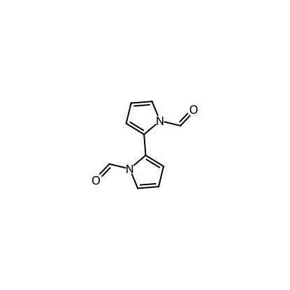 O=Cn1cccc1-c1cccn1C=O